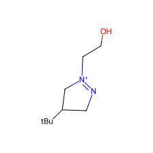 CC(C)(C)C1CN=[N+](CCO)C1